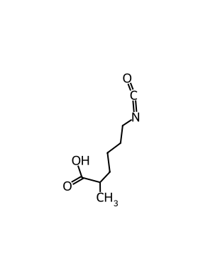 CC(CCCCN=C=O)C(=O)O